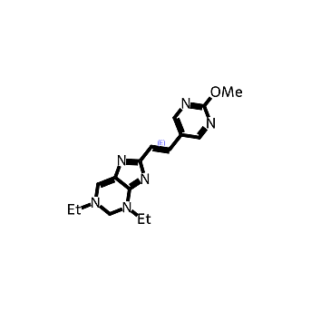 CCN1C=C2N=C(/C=C/c3cnc(OC)nc3)N=C2N(CC)C1